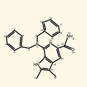 Cc1[nH]c2c(N(Cc3ccccc3)Cc3ccccc3)nc(C(N)=O)cc2c1C